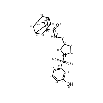 O=C(NCC1CCN(S(=O)(=O)c2cccc(O)c2)C1)C12CC3CC(CC(C3)C1)C2